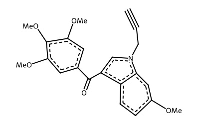 C#CCn1cc(C(=O)c2cc(OC)c(OC)c(OC)c2)c2ccc(OC)cc21